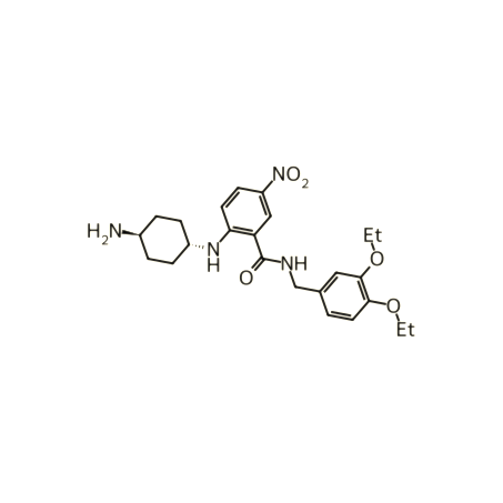 CCOc1ccc(CNC(=O)c2cc([N+](=O)[O-])ccc2N[C@H]2CC[C@H](N)CC2)cc1OCC